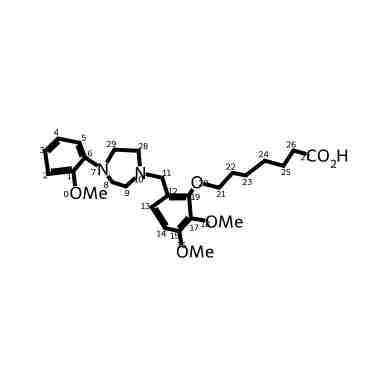 COc1ccccc1N1CCN(Cc2ccc(OC)c(OC)c2OCCCCCCC(=O)O)CC1